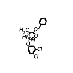 C[C@H](N[PH](=O)Oc1ccc(Cl)c(Cl)c1)C(=O)OCc1ccccc1